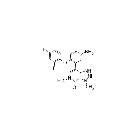 CN1NNc2c(-c3cc(N)ccc3Oc3ccc(F)cc3F)cn(C)c(=O)c21